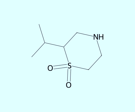 CC(C)C1CNCCS1(=O)=O